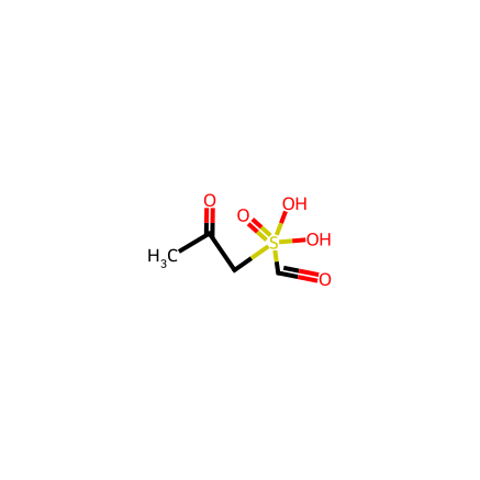 CC(=O)CS(=O)(O)(O)C=O